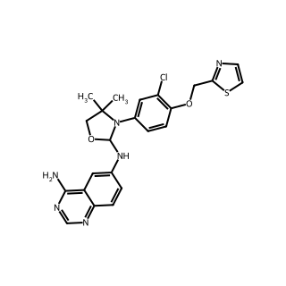 CC1(C)COC(Nc2ccc3ncnc(N)c3c2)N1c1ccc(OCc2nccs2)c(Cl)c1